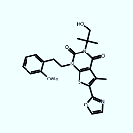 COc1ccccc1CCn1c(=O)n(C(C)(C)CO)c(=O)c2c(C)c(-c3ncco3)sc21